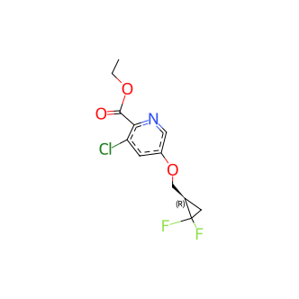 CCOC(=O)c1ncc(OC[C@H]2CC2(F)F)cc1Cl